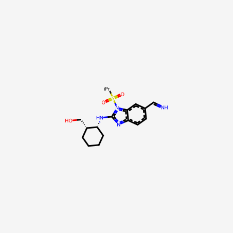 CC(C)S(=O)(=O)n1c(N[C@@H]2CCCC[C@@H]2CO)nc2ccc(C=N)cc21